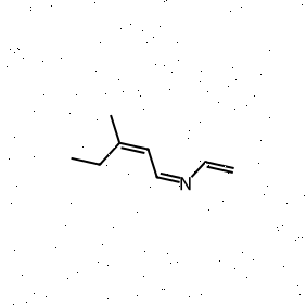 C=C/N=C\C=C(\C)CC